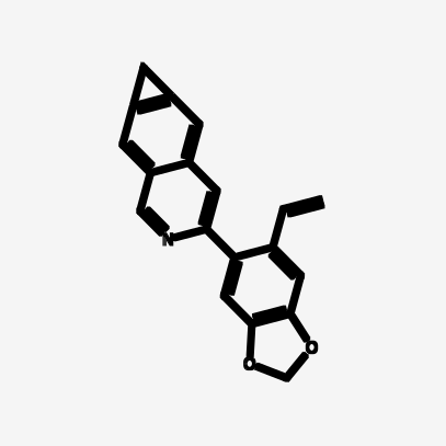 C=Cc1cc2c(cc1-c1cc3cc4c(cc3cn1)C4)OCO2